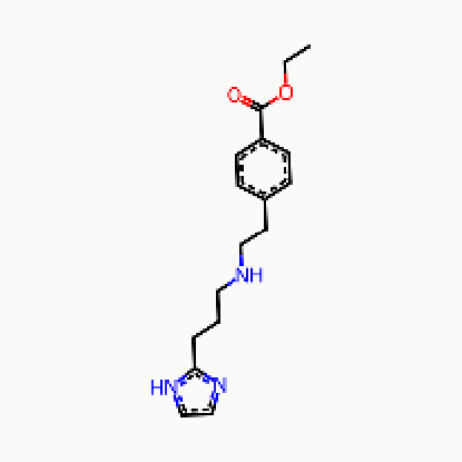 CCOC(=O)c1ccc(CCNCCCc2ncc[nH]2)cc1